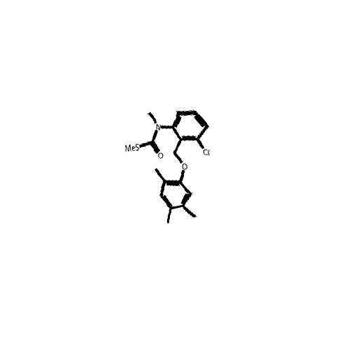 CSC(=O)N(C)c1cccc(Cl)c1COc1cc(C)c(C)cc1C